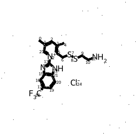 Cc1cc(C)c(CSSCCN)[n+](-c2nc3cc(C(F)(F)F)ccc3[nH]2)c1.[Cl-]